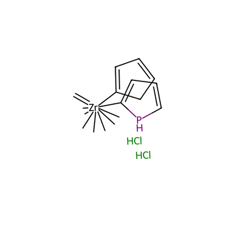 Cl.Cl.[CH2]=[Zr]([CH3])([CH3])([CH3])([CH3])([CH3])([CH3])([CH3])([C]1=CC=CC1)[c]1ccc[pH]1